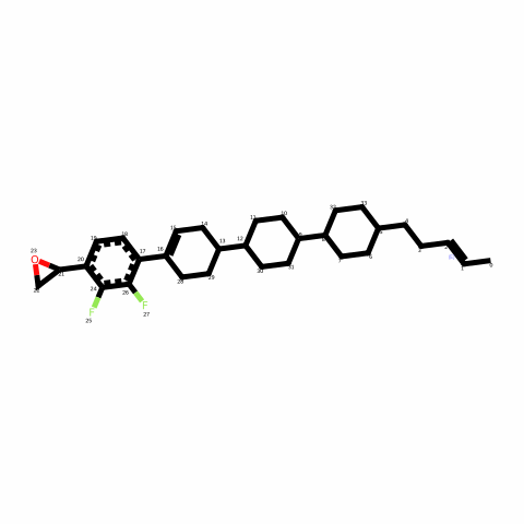 C/C=C/CCC1CCC(C2CCC(C3CC=C(c4ccc(C5CO5)c(F)c4F)CC3)CC2)CC1